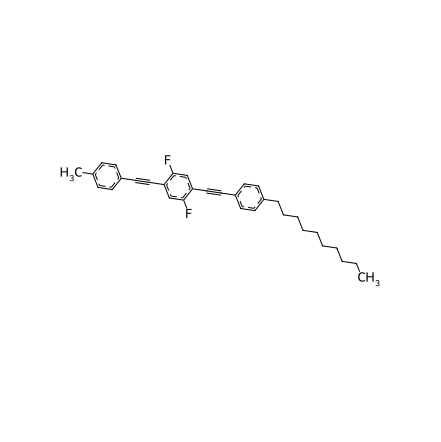 CCCCCCCCCCc1ccc(C#Cc2cc(F)c(C#Cc3ccc(C)cc3)cc2F)cc1